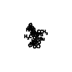 C=C[C@@H]1C[C@]1(NC(=O)[C@@H]1C[C@@]2(CN1C(=O)[C@@H](NC(=O)[C@@H](NC(=O)C1CCCCN1C(C)C)C1CCCCC1)C(C)(C)C)C(C)(C)C21CCC1)C(=O)NS(=O)(=O)N1CCCC1